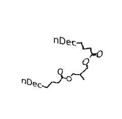 CCCCCCCCCCCCCC(=O)OCC(C)COC(=O)CCCCCCCCCCCCC